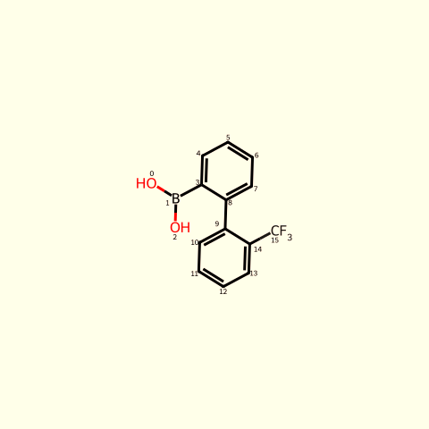 OB(O)c1ccccc1-c1ccccc1C(F)(F)F